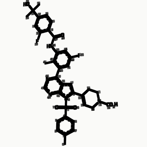 Cc1ccc(S(=O)(=O)n2c(C3=CCN(C(=O)O)CC3)cc3c(-c4cc(F)cc(NC(=O)c5ccc(C(C)(C)O)cc5F)c4C)ncnc32)cc1